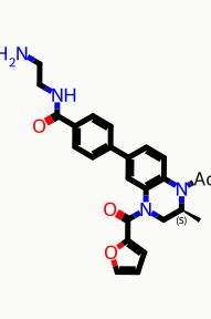 CC(=O)N1c2ccc(-c3ccc(C(=O)NCCN)cc3)cc2N(C(=O)c2ccco2)C[C@@H]1C